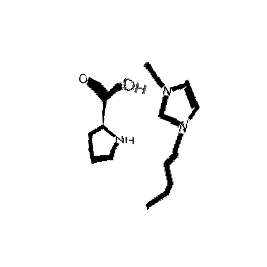 CCCCN1C=CN(C)C1.O=C(O)[C@@H]1CCCN1